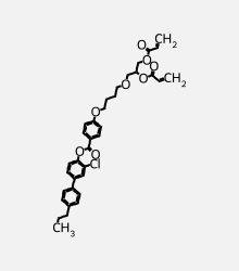 C=CC(=O)OCC(COCCCCOc1ccc(C(=O)Oc2ccc(-c3ccc(CCC)cc3)cc2Cl)cc1)OC(=O)C=C